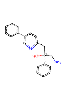 NC[C@](O)(Cc1ccc(-c2ccccc2)cn1)c1ccccc1